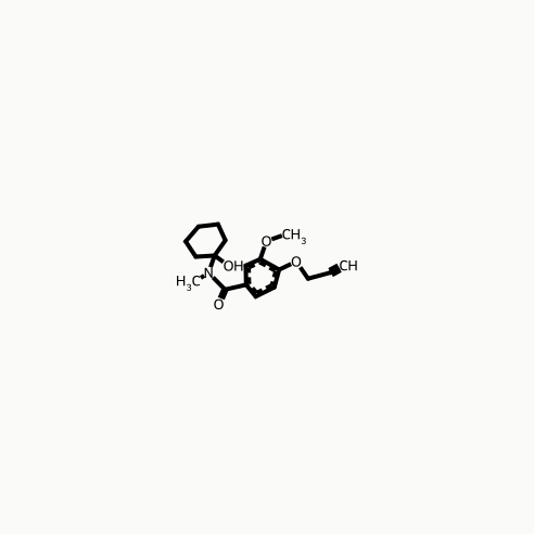 C#CCOc1ccc(C(=O)N(C)C2(O)CCCCC2)cc1OC